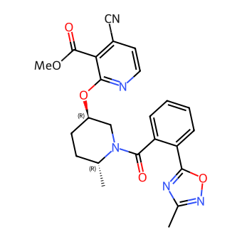 COC(=O)c1c(C#N)ccnc1O[C@@H]1CC[C@@H](C)N(C(=O)c2ccccc2-c2nc(C)no2)C1